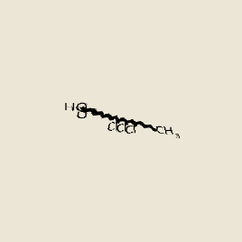 CCCCCC(Cl)CC(Cl)CC(Cl)CCCCCC=CC(=O)O